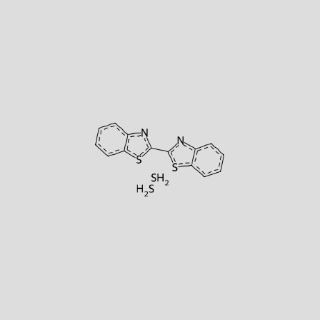 S.S.c1ccc2sc(-c3nc4ccccc4s3)nc2c1